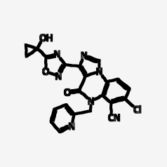 N#Cc1c(Cl)ccc2c1n(Cc1ccccn1)c(=O)c1c(-c3noc(C4(O)CC4)n3)ncn12